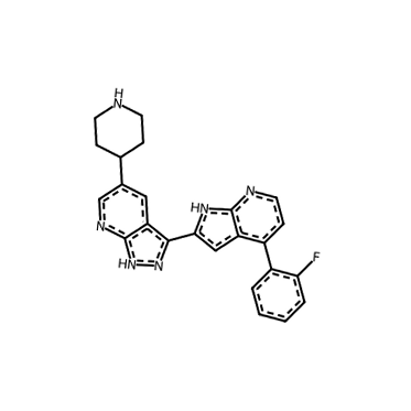 Fc1ccccc1-c1ccnc2[nH]c(-c3n[nH]c4ncc(C5CCNCC5)cc34)cc12